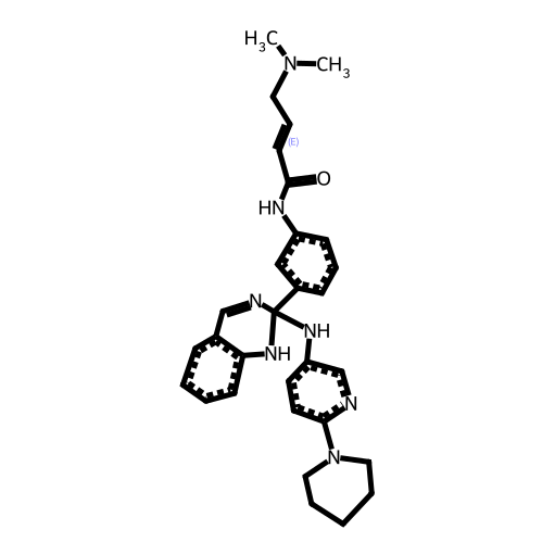 CN(C)C/C=C/C(=O)Nc1cccc(C2(Nc3ccc(N4CCCCC4)nc3)N=Cc3ccccc3N2)c1